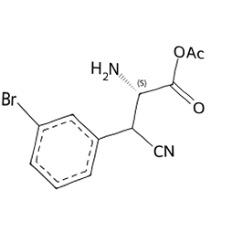 CC(=O)OC(=O)[C@@H](N)C(C#N)c1cccc(Br)c1